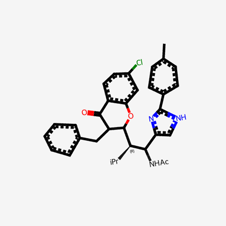 CC(=O)NC(c1c[nH]c(-c2ccc(C)cc2)n1)[C@@H](C(C)C)C1Oc2cc(Cl)ccc2C(=O)C1Cc1ccccc1